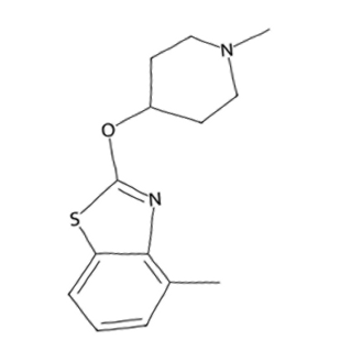 Cc1cccc2sc(OC3CCN(C)CC3)nc12